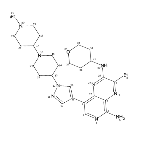 CCc1nc2c(N)ncc(-c3cnn(C4CCN(C5CCN(C(C)C)CC5)CC4)c3)c2nc1NC1CCOCC1